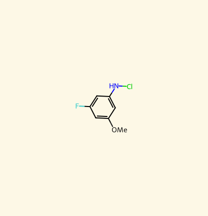 COc1cc(F)cc(NCl)c1